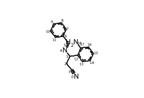 N#CCC(N=Cc1ccccc1)c1ccccc1N